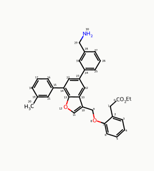 CCOC(=O)Cc1ccccc1OCc1coc2c(-c3cccc(C)c3)cc(-c3cccc(CN)c3)cc12